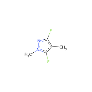 Cc1c(F)nn(C)c1F